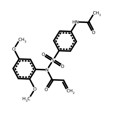 C=CC(=O)N(c1cc(OC)ccc1OC)S(=O)(=O)c1ccc(NC(C)=O)cc1